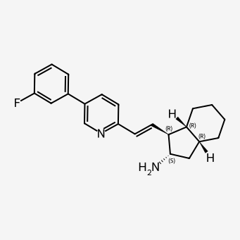 N[C@H]1C[C@H]2CCCC[C@H]2[C@@H]1C=Cc1ccc(-c2cccc(F)c2)cn1